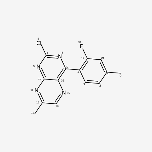 Cc1ccc(-c2nc(Cl)nc3nc(C)cnc23)c(F)c1